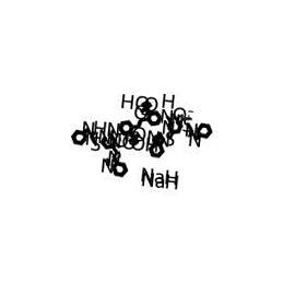 O=S(=O)(O)c1cc(Nc2nc(Sn3cnc4ccccc43)cc(Sn3cnc4ccccc43)[n+]2[O-])ccc1C=Cc1ccc(Nc2nc(Sn3cnc4ccccc43)cc(Sn3cnc4ccccc43)[n+]2[O-])cc1S(=O)(=O)O.[NaH].[NaH]